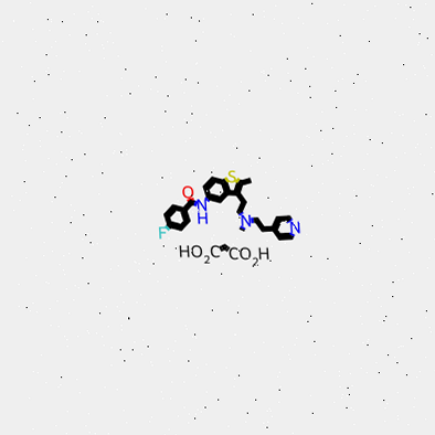 Cc1sc2ccc(NC(=O)c3ccc(F)cc3)cc2c1CCN(C)CCc1ccncc1.O=C(O)CC(=O)O